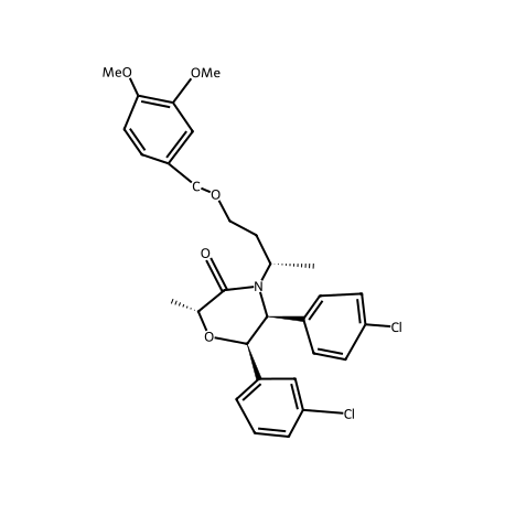 COc1ccc(COCC[C@H](C)N2C(=O)[C@@H](C)O[C@H](c3cccc(Cl)c3)[C@@H]2c2ccc(Cl)cc2)cc1OC